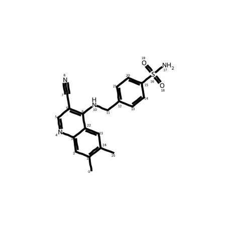 Cc1cc2ncc(C#N)c(NCc3ccc(S(N)(=O)=O)cc3)c2cc1C